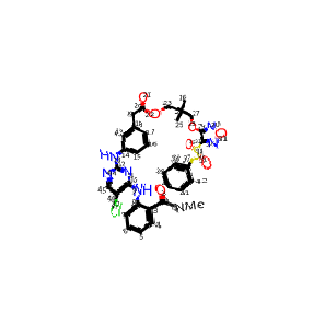 CNC(=O)c1ccccc1Nc1nc(Nc2cccc(CC(=O)OCC(C)(C)COc3nonc3S(=O)(=O)c3ccccc3)c2)ncc1Cl